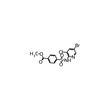 COC(=O)c1ccc(S(=O)(=O)Nc2ncc(Br)cc2Cl)cc1